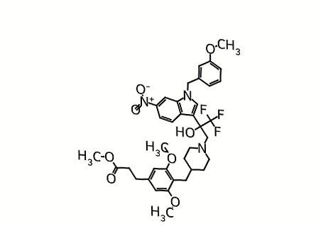 COC(=O)CCc1cc(OC)c(CC2CCN(CC(O)(c3cn(Cc4cccc(OC)c4)c4cc([N+](=O)[O-])ccc34)C(F)(F)F)CC2)c(OC)c1